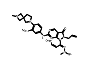 C=CCn1c(=O)c2cnc(Nc3ccc(N4CCC5(CN(C)C5)C4)c(OC)c3)nc2n1C(/C=C\C=O)=N/N(C)C(C)C